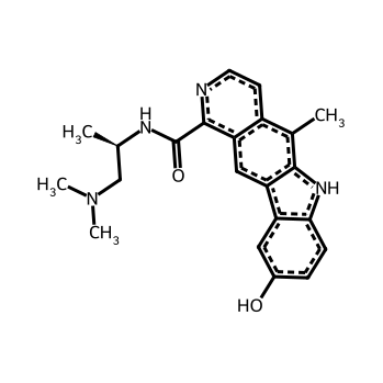 Cc1c2ccnc(C(=O)N[C@H](C)CN(C)C)c2cc2c1[nH]c1ccc(O)cc12